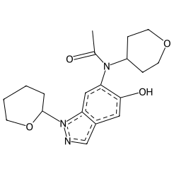 CC(=O)N(c1cc2c(cnn2C2CCCCO2)cc1O)C1CCOCC1